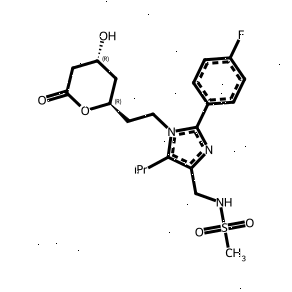 CC(C)c1c(CNS(C)(=O)=O)nc(-c2ccc(F)cc2)n1CC[C@@H]1C[C@@H](O)CC(=O)O1